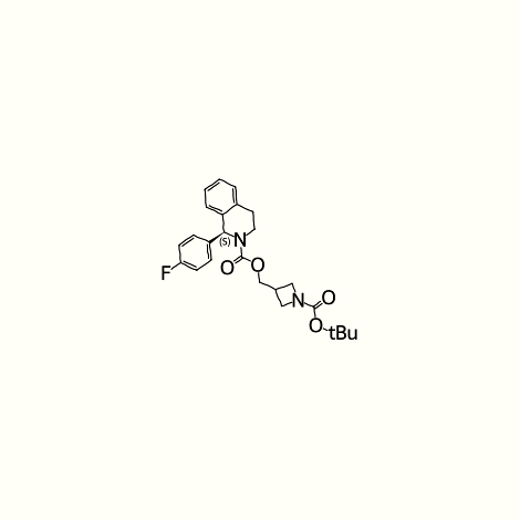 CC(C)(C)OC(=O)N1CC(COC(=O)N2CCc3ccccc3[C@@H]2c2ccc(F)cc2)C1